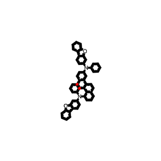 c1ccc(N(c2ccc3c(c2)oc2ccccc23)c2ccc3ccc4c(ccc5cccc(N(c6ccccc6)c6ccc7c(c6)oc6ccccc67)c54)c3c2)cc1